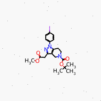 COC(=O)Cc1nn(-c2ccc(I)cc2)c2c1CN(C(=O)OC(C)(C)C)CC2